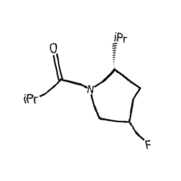 CC(C)C(=O)N1CC(F)C[C@H]1C(C)C